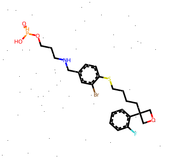 O=[PH](O)OCCCNCc1ccc(SCCCCC2(c3ccccc3F)COC2)c(Br)c1